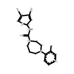 Cc1cnccc1N1CCCN(C(=O)NC2C=C(Cl)C(F)=CC2)CC1